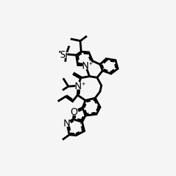 C=C1C2C(CCc3ccc4c(oc5nc(C)ccc54)c3C(/C=C/C)=[N+]\1C(C)C)c1ccccc1-c1cc(C(C)C)c([Si](C)(C)C)c[n+]12